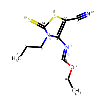 CCCn1c(/N=C/OCC)c(C#N)sc1=S